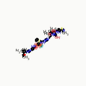 Cc1ncsc1-c1ccc([C@H](C)NC(=O)[C@@H]2C[C@@H](O)CN2C(=O)[C@@H](NC(=O)CCCN2CCN(CC[C@H](CSc3ccccc3)Nc3ccc(S(=O)(=O)NC(=O)c4ccc(N5CCN(CC6=C(C78CC(C)(C7)C8)CC(C)(C)CC6)CC5)cc4)cc3S(=O)(=O)C(F)(F)F)CC2)C(C)(C)C)cc1